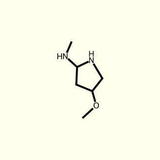 CNC1CC(OC)CN1